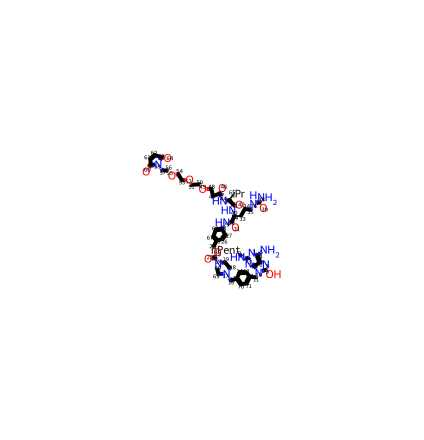 CCCCCNc1nc(N)c2nc(O)n(Cc3ccc(CN4CCN(C(=O)OCc5ccc(NC(=O)[C@H](CCCNC(N)=O)NC(=O)[C@@H](NC(=O)CCOCCOCCOCCN6C(=O)C=CC6=O)C(C)C)cc5)CC4)cc3)c2n1